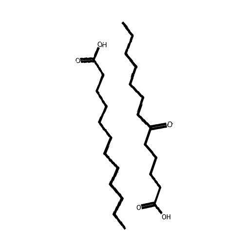 CCCCCCCC(=O)CCCCC(=O)O.CCCCCCCCCCCC(=O)O